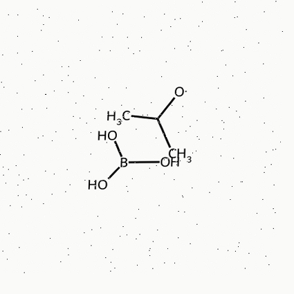 CC(C)[O].OB(O)O